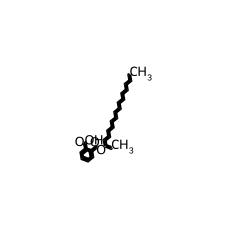 CCCCCCCCCCCCCCCCC(CC)OC(=O)c1ccccc1C(=O)O